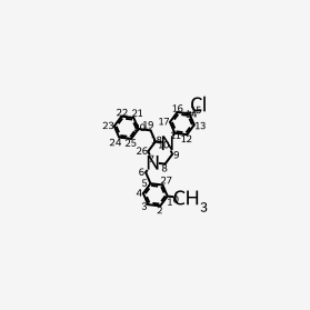 Cc1cccc(CN2CCN(c3ccc(Cl)cc3)C(Cc3ccccc3)C2)c1